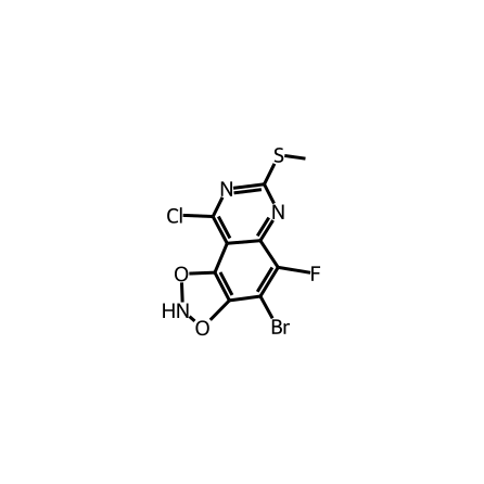 CSc1nc(Cl)c2c3c(c(Br)c(F)c2n1)ONO3